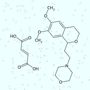 COc1cc2c(cc1OC)C(CCN1CCOCC1)OCC2.O=C(O)C=CC(=O)O